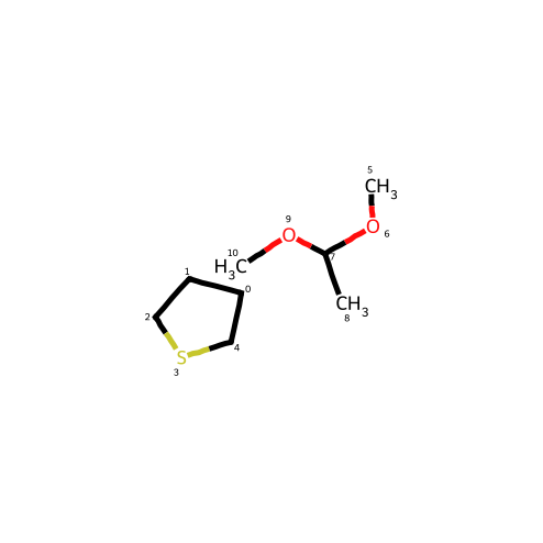 C1CCSC1.COC(C)OC